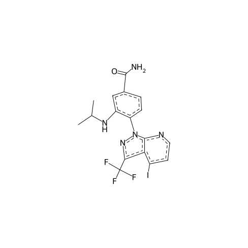 CC(C)Nc1cc(C(N)=O)ccc1-n1nc(C(F)(F)F)c2c(I)ccnc21